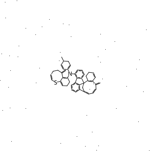 C=C1/C=C\C=C2/CC3(C4=C1C=CCC4)c1cccc(N(C4=CCC(C)C=C4)C4=C5C(=C)CC/C=C\SC5=CCC4)c1-c1cccc2c13